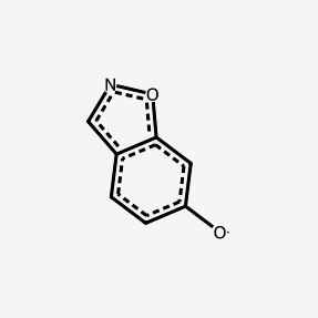 [O]c1ccc2cnoc2c1